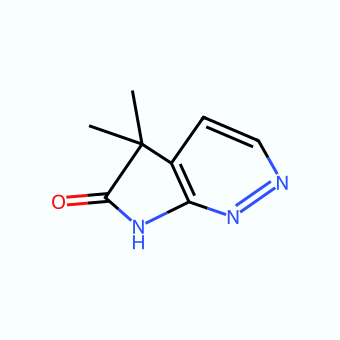 CC1(C)C(=O)Nc2nnccc21